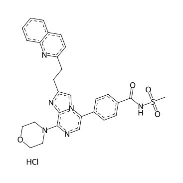 CS(=O)(=O)NC(=O)c1ccc(-c2cnc(N3CCOCC3)c3nc(CCc4ccc5ccccc5n4)cn23)cc1.Cl